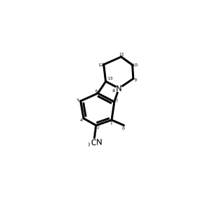 Cc1c(C#N)ccc2c1N1CCCCC21